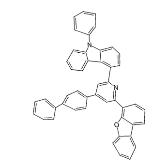 c1ccc(-c2ccc(-c3cc(-c4cccc5c4oc4ccccc45)nc(-c4cccc5c4c4ccccc4n5-c4ccccc4)c3)cc2)cc1